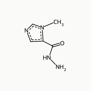 Cn1cncc1C(=O)NN